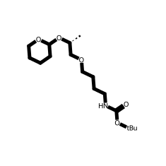 C[C@H](COCCCCNC(=O)OC(C)(C)C)OC1CCCCO1